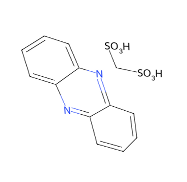 O=S(=O)(O)CS(=O)(=O)O.c1ccc2nc3ccccc3nc2c1